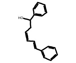 OC(C/C=C\C=C\c1ccccc1)c1ccccc1